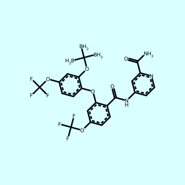 BC(B)(B)Oc1cc(OC(F)(F)F)ccc1Oc1cc(OC(F)(F)F)ccc1C(=O)Nc1ccnc(C(N)=O)c1